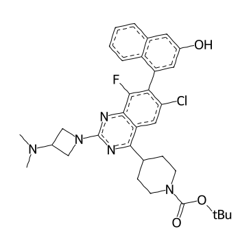 CN(C)C1CN(c2nc(C3CCN(C(=O)OC(C)(C)C)CC3)c3cc(Cl)c(-c4cc(O)cc5ccccc45)c(F)c3n2)C1